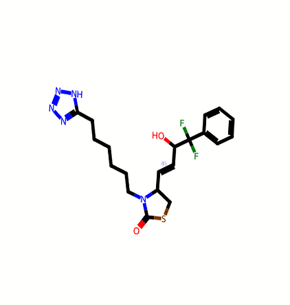 O=C1SCC(/C=C/C(O)C(F)(F)c2ccccc2)N1CCCCCCc1nnn[nH]1